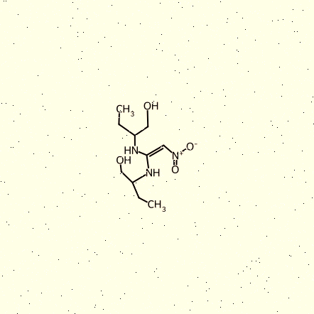 CCC(CO)NC(=C[N+](=O)[O-])NC(CC)CO